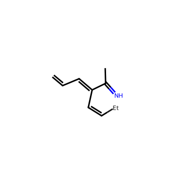 C=C/C=C(\C=C/CC)C(C)=N